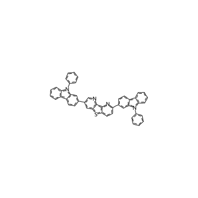 c1ccc(-n2c3ccccc3c3ccc(-c4cnc5c(c4)sc4ccc(-c6ccc7c8ccccc8n(-c8ccccc8)c7c6)nc45)cc32)cc1